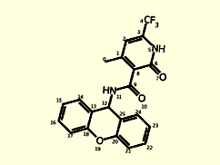 Cc1cc(C(F)(F)F)[nH]c(=O)c1C(=O)NC1c2ccccc2Oc2ccccc21